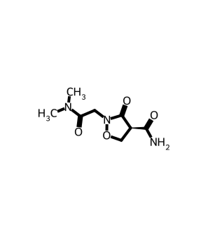 CN(C)C(=O)CN1OC[C@H](C(N)=O)C1=O